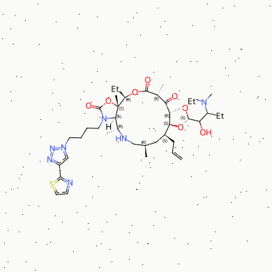 C=CC[C@H]1C[C@@H](C)CN[C@H](C)[C@H]2N(CCCCn3cc(-c4nccs4)nn3)C(=O)O[C@]2(C)[C@@H](CC)OC(=O)[C@H](C)C(=O)[C@H](C)[C@H]1O[C@H](OCC)C(O)C(CC)N(C)C